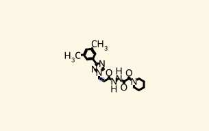 Cc1cc(C)cc(-c2ncn(/C=C\C(=O)NNC(=O)C(=O)N3CCCCC3)n2)c1